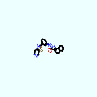 O=C(Nc1cccc(-c2nc3ccncc3s2)c1)c1ccc2ccccc2c1